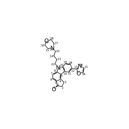 O=C1CCc2c1ccc1c2c2cc(-c3ncco3)ccc2n1CCCCN1CCOCC1